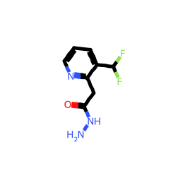 NNC(=O)Cc1ncccc1C(F)F